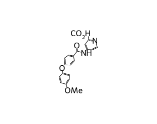 COc1ccc(Oc2ccc(C(=O)Nc3ccnc(C(=O)O)c3)cc2)cc1